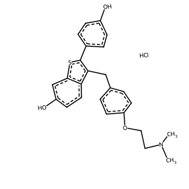 CN(C)CCOc1ccc(Cc2c(-c3ccc(O)cc3)sc3cc(O)ccc23)cc1.Cl